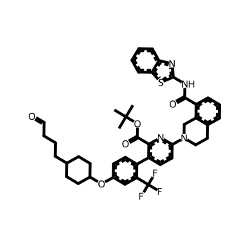 CC(C)(C)OC(=O)c1nc(N2CCc3cccc(C(=O)Nc4nc5ccccc5s4)c3C2)ccc1-c1ccc(OC2CCC(CCCC=O)CC2)cc1C(F)(F)F